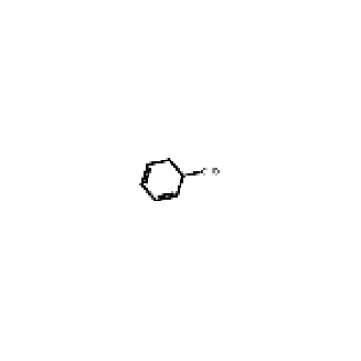 O=C[C@H]1C=CC=CC1